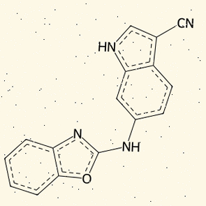 N#Cc1c[nH]c2cc(Nc3nc4ccccc4o3)ccc12